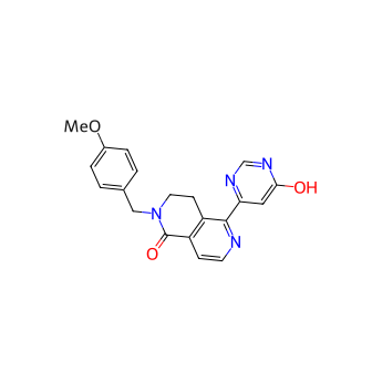 COc1ccc(CN2CCc3c(ccnc3-c3cc(O)ncn3)C2=O)cc1